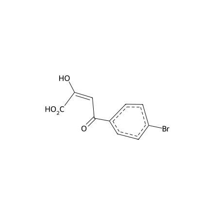 O=C(O)/C(O)=C\C(=O)c1ccc(Br)cc1